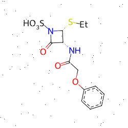 CCS[C@@H]1[C@H](NC(=O)COc2ccccc2)C(=O)N1S(=O)(=O)O